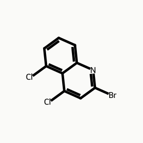 Clc1cccc2nc(Br)cc(Cl)c12